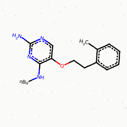 CCCCNc1nc(N)ncc1OCCc1ccccc1C